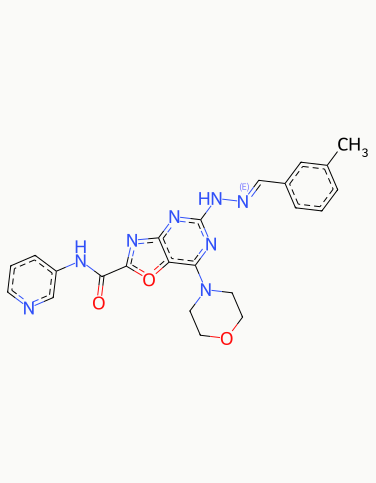 Cc1cccc(/C=N/Nc2nc(N3CCOCC3)c3oc(C(=O)Nc4cccnc4)nc3n2)c1